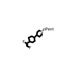 CCCCC[SiH]1CCC(C2CCC(/C(F)=C\F)CC2)CC1